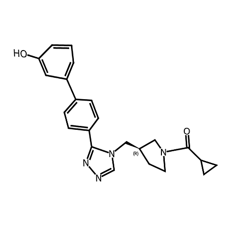 O=C(C1CC1)N1CC[C@@H](Cn2cnnc2-c2ccc(-c3cccc(O)c3)cc2)C1